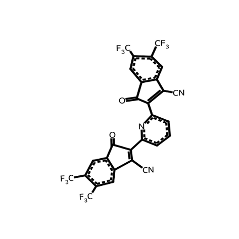 N#CC1=C(c2cccc(C3=C(C#N)c4cc(C(F)(F)F)c(C(F)(F)F)cc4C3=O)n2)C(=O)c2cc(C(F)(F)F)c(C(F)(F)F)cc21